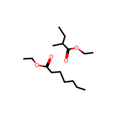 CCCCCCC(=O)OCC.CCOC(=O)C(C)CC